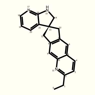 CCc1ccc2cc3c(cc2n1)C[C@@]1(CNc2ncccc21)C3